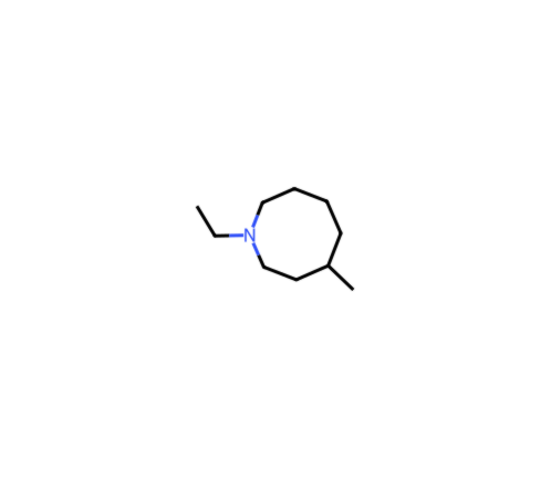 CCN1CCCCC(C)CC1